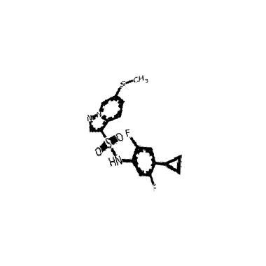 CSc1ccc2c(S(=O)(=O)Nc3cc(F)c(C4CC4)cc3F)cnn2c1